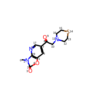 Cn1c(=O)oc2cc(C(=O)CN3CCSCC3)cnc21